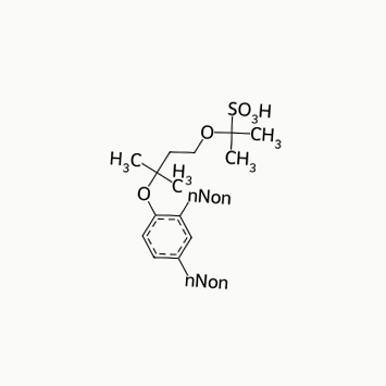 CCCCCCCCCc1ccc(OC(C)(C)CCOC(C)(C)S(=O)(=O)O)c(CCCCCCCCC)c1